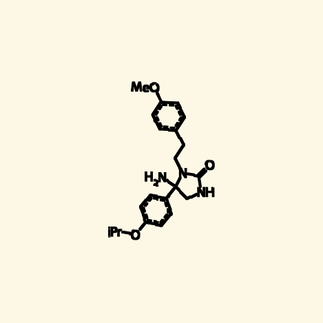 COc1ccc(CCN2C(=O)NCC2(N)c2ccc(OC(C)C)cc2)cc1